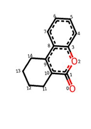 O=c1oc2ccccc2c2c1CCCC2